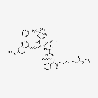 C=CC1CC1(NC(=O)[C@@H]1C[C@@H](Oc2cc(-c3ccccc3)nc3cc(OC)ccc23)CN1C(=O)OC(C)(C)C)C(=O)NS(=O)(=O)c1ccccc1NC(=O)CCCCCCC(=O)OC